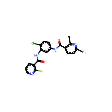 Cc1nc(C(F)(F)F)ccc1C(=O)Nc1ccc(Cl)c(NC(=O)c2cccnc2F)c1